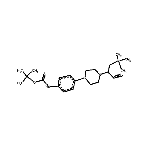 CC(C)(C)OC(=O)Nc1ccc(N2CCN(C(C=O)C[Si](C)(C)C)CC2)cc1